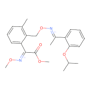 CO/N=C(/C(=O)OC)c1cccc(C)c1CO/N=C(\C)c1ccccc1OC(C)C